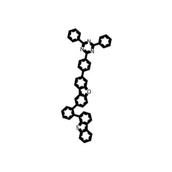 c1ccc(-c2nc(-c3ccccc3)nc(-c3ccc(-c4ccc5c(c4)oc4ccc(-c6ccccc6-c6cccc7c6sc6ccccc67)cc45)cc3)n2)cc1